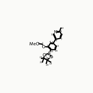 COCOc1cc(-c2ccc(C)nc2)ccc1B1OC(C)(C)C(C)(C)O1